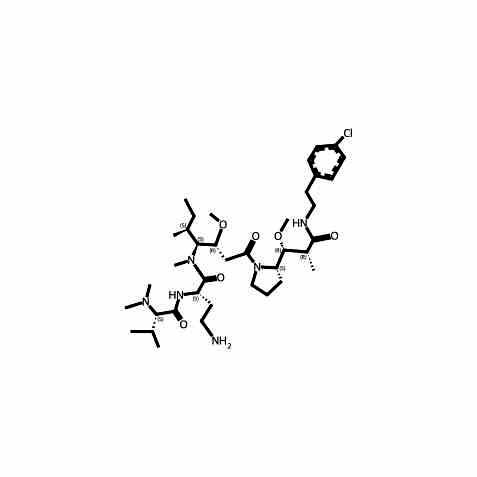 CC[C@H](C)[C@@H]([C@@H](CC(=O)N1CCC[C@H]1[C@H](OC)[C@@H](C)C(=O)NCCc1ccc(Cl)cc1)OC)N(C)C(=O)[C@H](CCN)NC(=O)[C@H](C(C)C)N(C)C